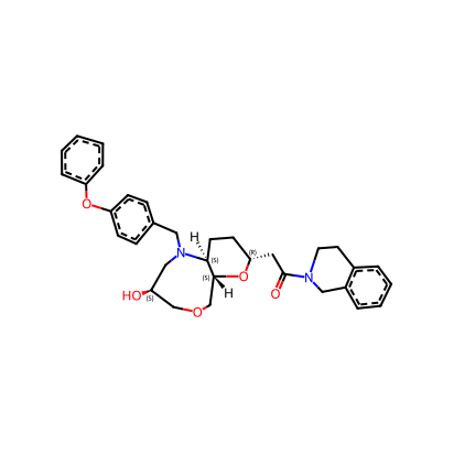 O=C(C[C@H]1CC[C@H]2[C@@H](COC[C@@H](O)CN2Cc2ccc(Oc3ccccc3)cc2)O1)N1CCc2ccccc2C1